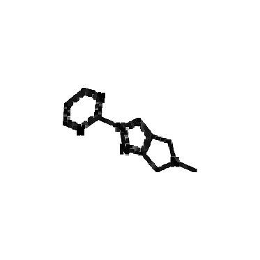 CN1Cc2cn(-c3ncccn3)nc2C1